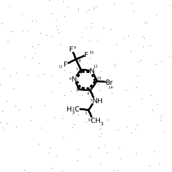 CC(C)Nc1cnc(C(F)(F)F)nc1Br